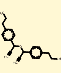 C#CC(OC(C#C)c1ccc(CCC)cc1)c1ccc(CCC)cc1